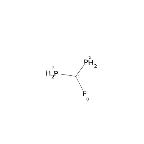 FC(P)P